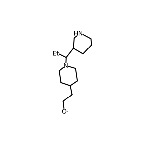 CCC(C1CCCNC1)N1CCC(CC[O])CC1